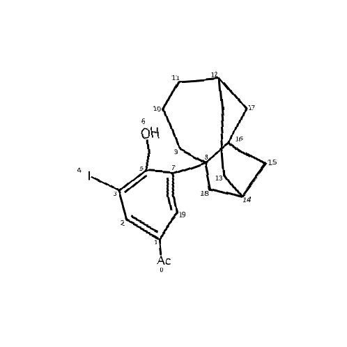 CC(=O)c1cc(I)c(O)c(C23CCCC4CC(CC2C4)C3)c1